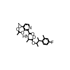 COc1ccnc(C(=O)NC(C)C(=O)OC(C)C(C)c2ccc(F)cc2C)c1OC(C)=O